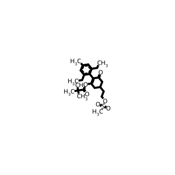 CCc1cc(C)cc(CC)c1C1=C(OC(=O)C(C)(C)C)CC(CCOS(C)(=O)=O)CC1=O